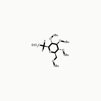 CCCCOC[C@H]1O[C@@H](C(F)(F)C(=O)OCC)[C@H](OCCCC)[C@@H](OCCCC)[C@@H]1OCCCC